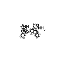 NC(=O)c1[nH]c2cc(CNC(c3ccc[nH]3)S(=O)(=O)c3ccccc3)ccc2c1Sc1ccccc1